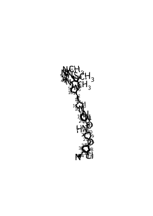 Cc1sc2c(c1C)C(c1ccc(C#CC3CCN(c4ccc(C(=O)N[C@H]5CC[C@H](Oc6ccc(C#N)c(Cl)c6)CC5)nn4)CC3)cn1)=NC1(CC1)c1nnc(C)n1-2